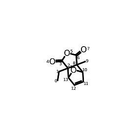 CCC12C(=O)OC(=O)C1(C)C1C=CC2O1